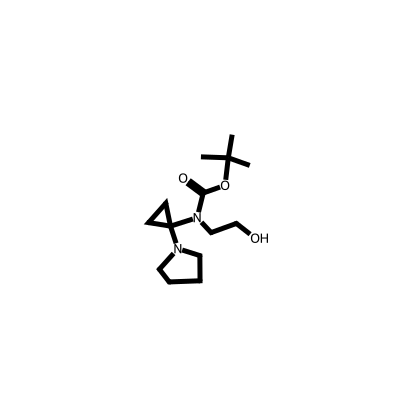 CC(C)(C)OC(=O)N(CCO)C1(N2CCCC2)CC1